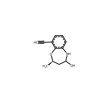 C#Cc1cccc2c1O[C@H](C)CC(O)N2